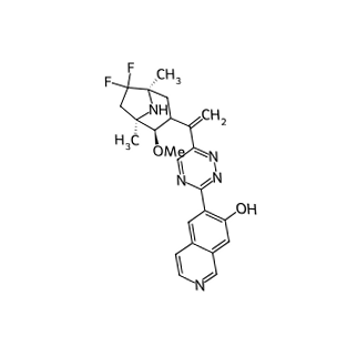 C=C(c1cnc(-c2cc3ccncc3cc2O)nn1)C1C[C@@]2(C)N[C@](C)(CC2(F)F)[C@@H]1OC